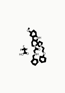 COc1ccc2[nH]c3c(c2c1)CCN(C(=O)CNCc1ccccc1)C31CCN(CCOc2ccccc2)C1.O=C(O)C(F)(F)F